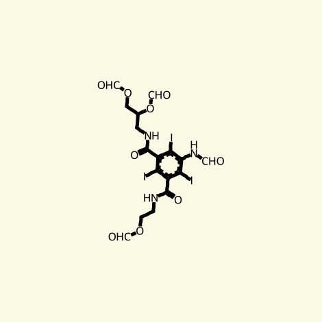 O=CNc1c(I)c(C(=O)NCCOC=O)c(I)c(C(=O)NCC(COC=O)OC=O)c1I